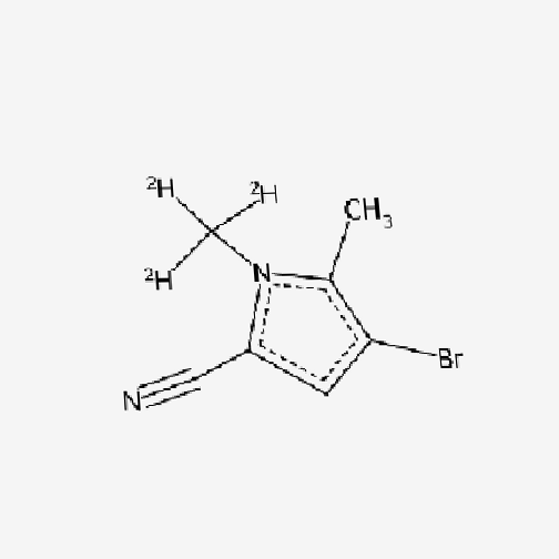 [2H]C([2H])([2H])n1c(C#N)cc(Br)c1C